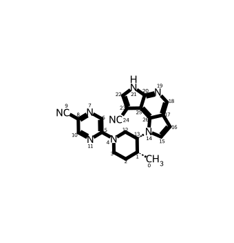 C[C@@H]1CCN(c2cnc(C#N)cn2)C[C@@H]1n1ccc2cnc3[nH]cc(C#N)c3c21